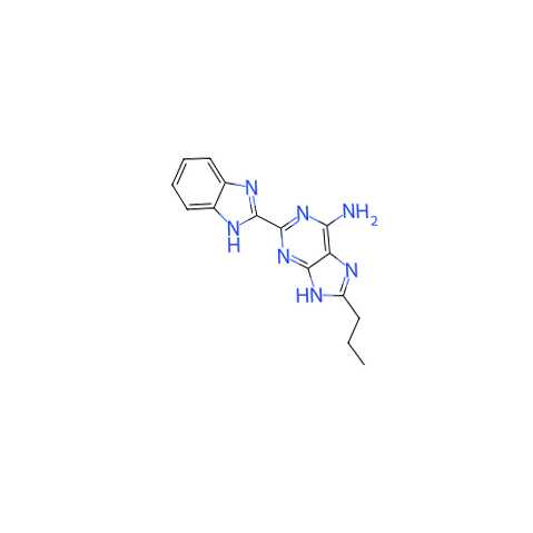 CCCc1nc2c(N)nc(-c3nc4ccccc4[nH]3)nc2[nH]1